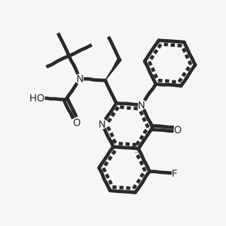 CC[C@@H](c1nc2cccc(F)c2c(=O)n1-c1ccccc1)N(C(=O)O)C(C)(C)C